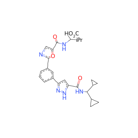 CC(C)C(NC(=O)c1cnc(-c2cccc(-c3cc(C(=O)NC(C4CC4)C4CC4)[nH]n3)c2)o1)C(=O)O